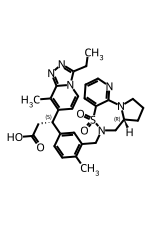 CCc1nnc2c(C)c([C@@H](CC(=O)O)c3ccc(C)c(CN4C[C@H]5CCCN5c5ncccc5S4(=O)=O)c3)ccn12